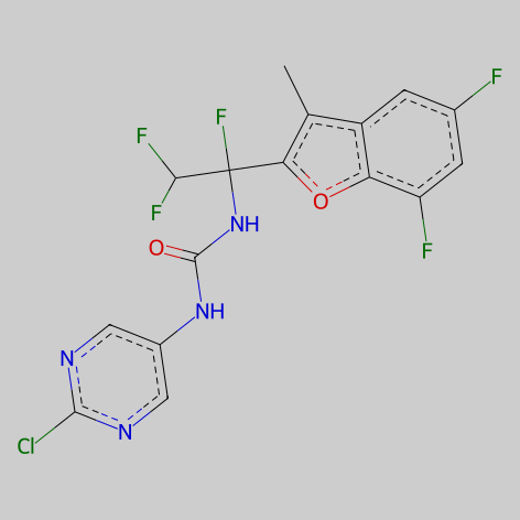 Cc1c(C(F)(NC(=O)Nc2cnc(Cl)nc2)C(F)F)oc2c(F)cc(F)cc12